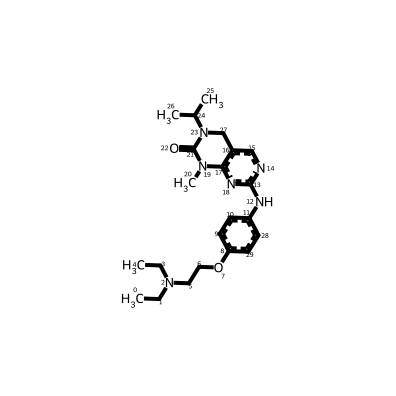 CCN(CC)CCOc1ccc(Nc2ncc3c(n2)N(C)C(=O)N(C(C)C)C3)cc1